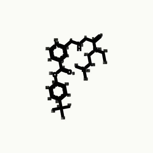 C=C(CNCc1cc(C(=O)Oc2ccc(C(C)(C)C)cc2)ccn1)N(CC)CCN(C)C